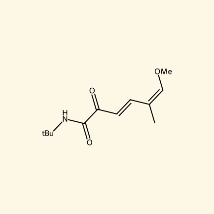 CO/C=C(C)\C=C\C(=O)C(=O)NC(C)(C)C